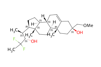 COC[C@]1(O)CC[C@@]2(C)C(=CC[C@H]3[C@@H]4CC[C@H]([C@H](C)[C@H](O)C(C)(F)F)[C@@]4(C)CC[C@@H]32)C1